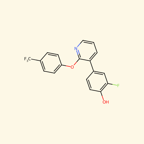 Oc1ccc(-c2cccnc2Oc2ccc(C(F)(F)F)cc2)cc1F